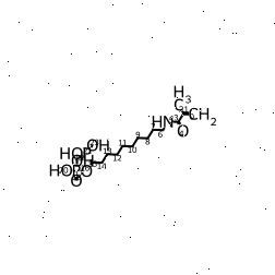 C=C(C)C(=O)NCCCCCCCCCC(OP(=O)(O)O)P(O)O